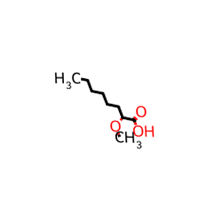 CCCCCCC(OC)C(=O)O